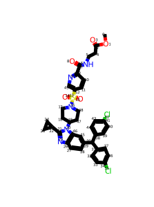 COC(=O)CCNC(=O)c1ccc(S(=O)(=O)N2CCC(n3c(C4CC4)nc4ccc(C(c5ccc(Cl)cc5)c5ccc(Cl)cc5)cc43)CC2)cn1